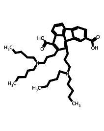 CCCCCN(CCCCC)CCCc1c(CCCN(CCCCC)CCCCC)c2c3c(cccc3c1C(=O)O)-c1ccc(C(=O)O)cc1-2